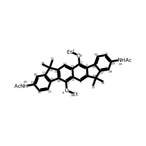 CCOc1c2c(cc3c(OCC)c4c(cc13)C(C)(C)c1cc(NC(C)=O)ccc1-4)C(C)(C)c1cc(NC(C)=O)ccc1-2